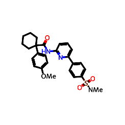 CNS(=O)(=O)c1ccc(-c2cccc(NC(=O)C3(c4ccc(OC)cc4)CCCCC3)n2)cc1